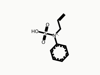 C=CC[N+](c1ccccc1)S(=O)(=O)O